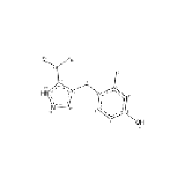 Cc1cc(O)ccc1Cc1cn[nH]c1C(C)C